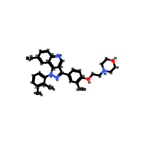 COc1cc(-c2nn(-c3cccc(C)c3C)c3c2cnc2ccc(C)cc23)ccc1OCCN1CCOCC1